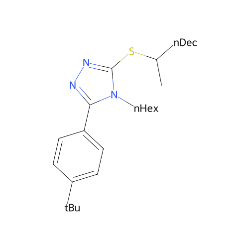 CCCCCCCCCCC(C)Sc1nnc(-c2ccc(C(C)(C)C)cc2)n1CCCCCC